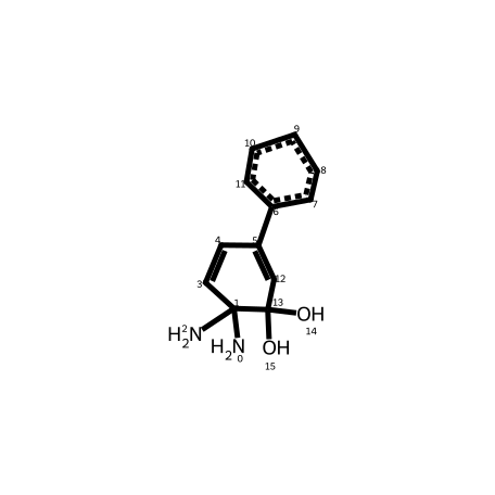 NC1(N)C=CC(c2ccccc2)=CC1(O)O